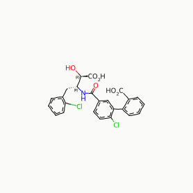 O=C(N[C@H](Cc1ccccc1Cl)[C@@H](O)C(=O)O)c1ccc(Cl)c(-c2ccccc2C(=O)O)c1